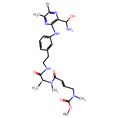 CCc1nc(C(N)O)c(Nc2cccc(CCNC(=O)[C@H](C)N(C)C(=O)/C=C/CN(C)C(=O)OC(C)(C)C)c2)nc1C